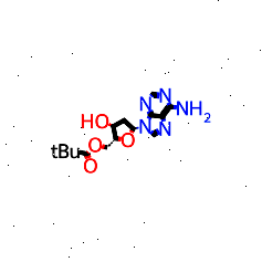 CC(C)(C)C(=O)OC[C@H]1O[C@@H](n2cnc3c(N)ncnc32)C[C@@H]1O